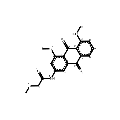 COCC(=O)Nc1cc(OC)c2c(c1)C(=O)c1cccc(OC)c1C2=O